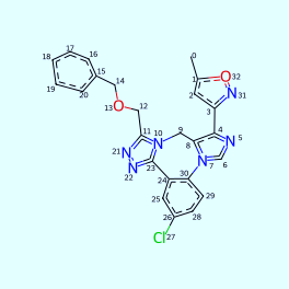 Cc1cc(-c2ncn3c2Cn2c(COCc4ccccc4)nnc2-c2cc(Cl)ccc2-3)no1